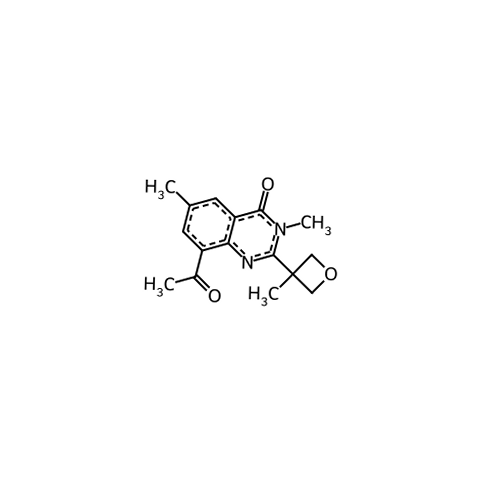 CC(=O)c1cc(C)cc2c(=O)n(C)c(C3(C)COC3)nc12